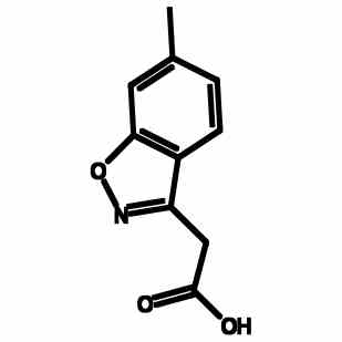 Cc1ccc2c(CC(=O)O)noc2c1